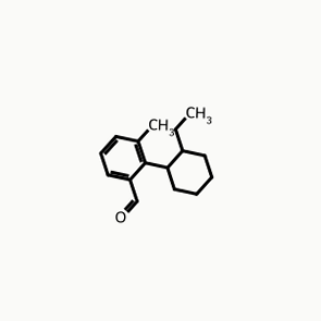 CCC1CCCCC1c1c(C)cccc1C=O